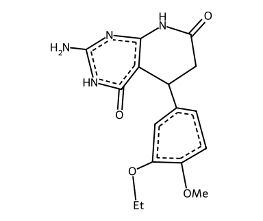 CCOc1cc(C2CC(=O)Nc3nc(N)[nH]c(=O)c32)ccc1OC